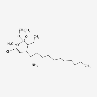 CCCCCCCCCCCC(/C=C/Cl)C(CC)[Si](OC)(OC)OC.N